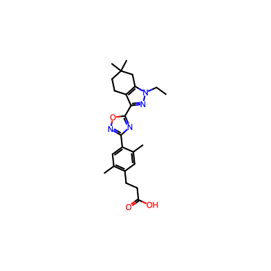 CCn1nc(-c2nc(-c3cc(C)c(CCC(=O)O)cc3C)no2)c2c1CC(C)(C)CC2